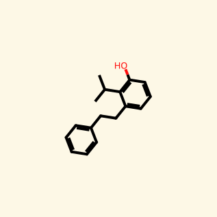 CC(C)c1c(O)cccc1CCc1ccccc1